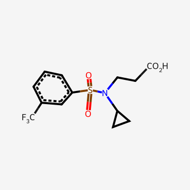 O=C(O)CCN(C1CC1)S(=O)(=O)c1cccc(C(F)(F)F)c1